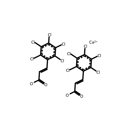 O=C([O-])C=Cc1c(Cl)c(Cl)c(Cl)c(Cl)c1Cl.O=C([O-])C=Cc1c(Cl)c(Cl)c(Cl)c(Cl)c1Cl.[Ca+2]